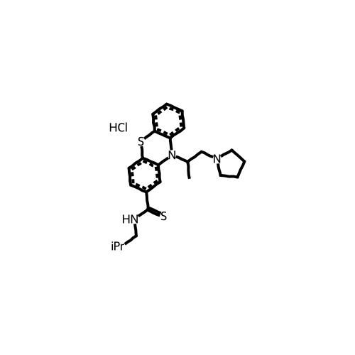 CC(C)CNC(=S)c1ccc2c(c1)N(C(C)CN1CCCC1)c1ccccc1S2.Cl